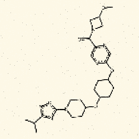 COC1CN(C(=O)c2cnc(OC3CCC(OC4CCN(c5nc(C(C)C)no5)CC4)CC3)cn2)C1